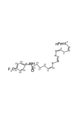 CCCCC/C=C\C/C=C\C/C=C\C/C=C\CCCC(=O)Nc1ccc(C(F)(F)F)cc1